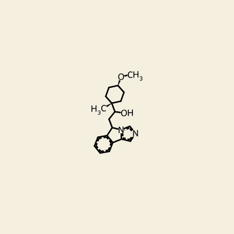 CO[C@H]1CC[C@](C)(C(O)CC2c3ccccc3-c3cncn32)CC1